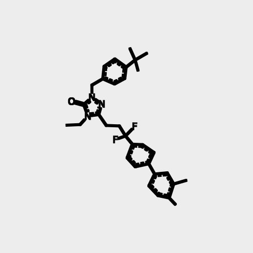 CCn1c(CCC(F)(F)c2ccc(-c3ccc(C)c(C)c3)cc2)nn(Cc2ccc(C(C)(C)C)cc2)c1=O